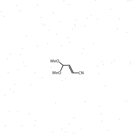 COC(C=CC#N)OC